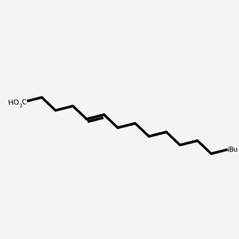 CCC(C)CCCCCCCC=CCCCC(=O)O